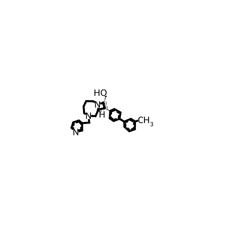 Cc1cccc(-c2ccc([C@H]3[C@@H](CO)N4CCCCN(Cc5cccnc5)C[C@H]34)cc2)c1